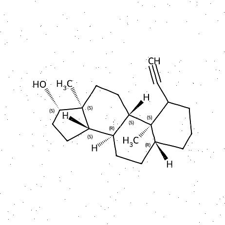 C#CC1CCC[C@@H]2CC[C@H]3[C@@H]4CC[C@H](O)[C@@]4(C)CC[C@@H]3[C@@]12C